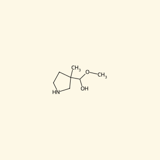 COC(O)C1(C)CCNC1